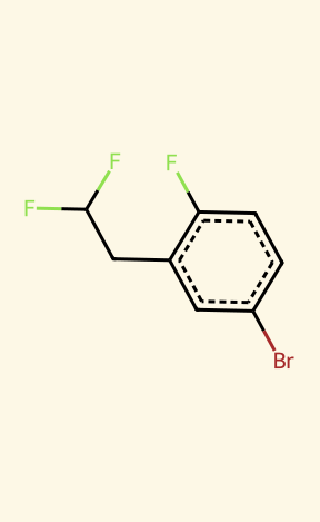 Fc1ccc(Br)cc1CC(F)F